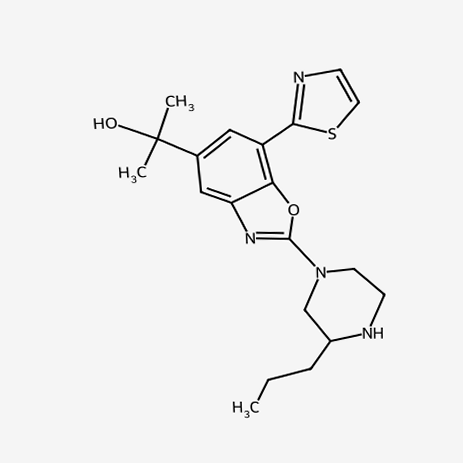 CCCC1CN(c2nc3cc(C(C)(C)O)cc(-c4nccs4)c3o2)CCN1